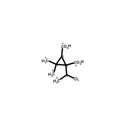 CC(Cl)C1(C(=O)O)C(C(=O)O)C1(C)C